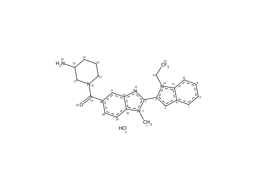 Cl.Cn1c(-c2cc3ccccc3n2CC(F)(F)F)nc2cc(C(=O)N3CCCC(N)C3)ccc21